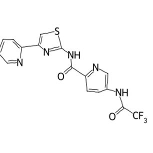 O=C(Nc1nc(-c2ccccn2)cs1)c1ccc(NC(=O)C(F)(F)F)cn1